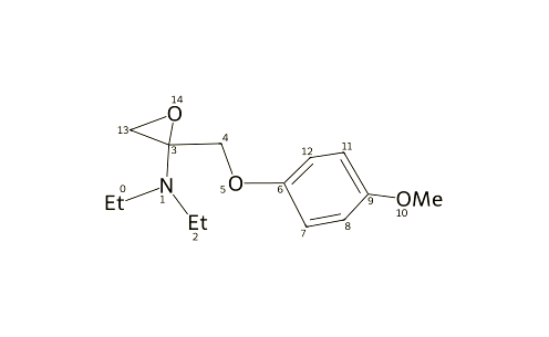 CCN(CC)C1(COc2ccc(OC)cc2)CO1